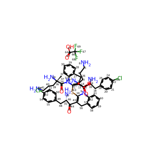 C[C@](N)(CCCN)C(=O)N1C(SC2=C(C(=O)[C@@H](N)Cc3ccc(Cl)cc3)Cc3ccccc3N2C(=O)[C@@](C)(N)CCCN)=C(C(=O)[C@@H](N)Cc2ccc(Cl)cc2)Cc2ccccc21.O=C(O)C(F)(F)F